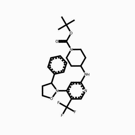 CC(C)(C)OC(=O)N1CCC(Nc2cc(N3OCCC3c3ccccc3)c(C(F)(F)F)cn2)CC1